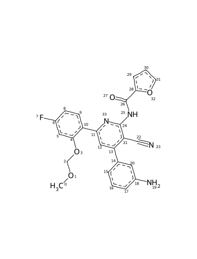 COCOc1cc(F)ccc1-c1cc(-c2cccc(N)c2)c(C#N)c(NC(=O)c2ccco2)n1